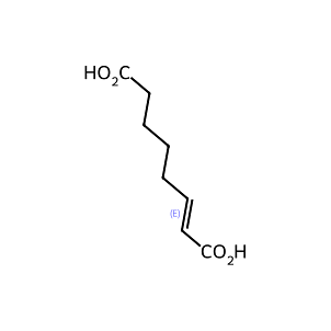 O=C(O)/C=C/CCCCC(=O)O